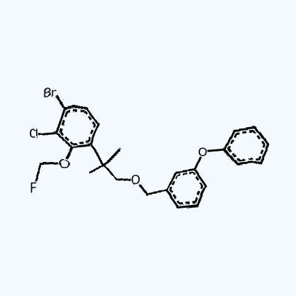 CC(C)(COCc1cccc(Oc2ccccc2)c1)c1ccc(Br)c(Cl)c1OCF